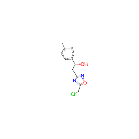 Cc1ccc([C@@H](O)Cc2noc(CCl)n2)cc1